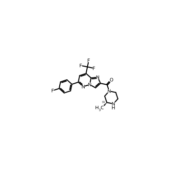 C[C@H]1CN(C(=O)c2cn3nc(-c4ccc(F)cc4)cc(C(F)(F)F)c3n2)CCN1